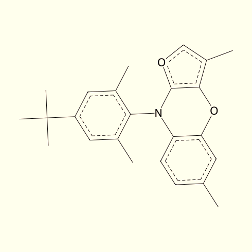 Cc1ccc2c(c1)Oc1c(C)coc1N2c1c(C)cc(C(C)(C)C)cc1C